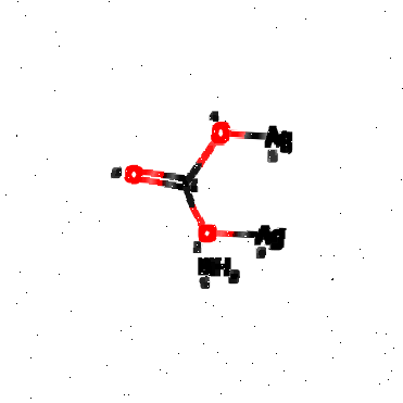 O=C([O][Ag])[O][Ag].[BiH3]